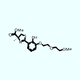 COCCOCCOc1cccc(C2=N[C@@](C)(C(=O)OC)CS2)c1O